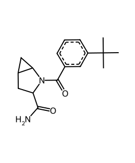 CC(C)(C)c1cccc(C(=O)N2C(C(N)=O)CC3CC32)c1